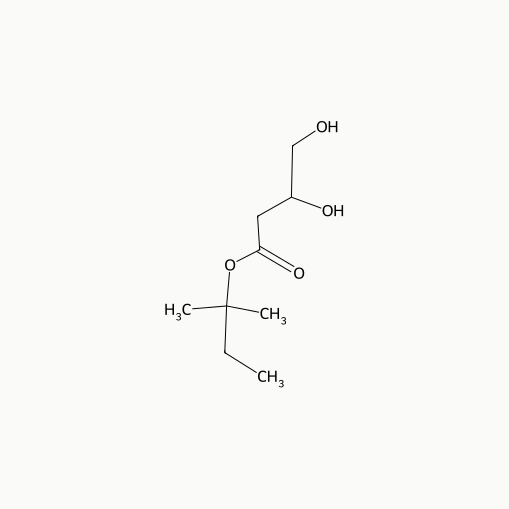 CCC(C)(C)OC(=O)CC(O)CO